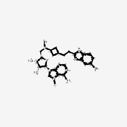 CC(C)N(C[C@H]1O[C@@H](n2c[n+]([O-])c3c(N)ncnc32)[C@H](O)[C@@H]1O)C1CC(CCc2nc3cc(C(C)(C)C)ccc3[nH]2)C1